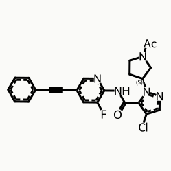 CC(=O)N1CC[C@H](n2ncc(Cl)c2C(=O)Nc2ncc(C#Cc3ccccc3)cc2F)C1